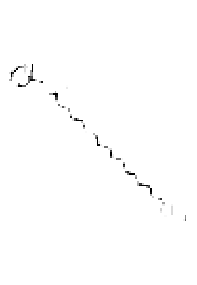 CC/C=C/C/C=C/C/C=C/CCCCCCCC(=O)OCc1cnccn1